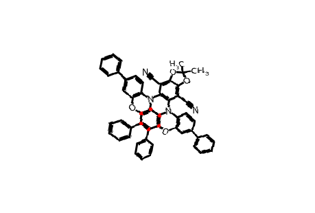 CC1(C)Oc2c(C#N)c(N3c4ccc(-c5ccccc5)cc4Oc4cc(-c5ccccc5)ccc43)c(N3c4ccc(-c5ccccc5)cc4Oc4cc(-c5ccccc5)ccc43)c(C#N)c2O1